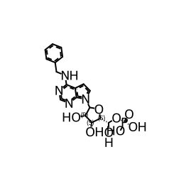 O=P(O)(O)OC(O)[C@H]1OC(n2ccc3c(NCc4ccccc4)ncnc32)[C@H](O)[C@@H]1O